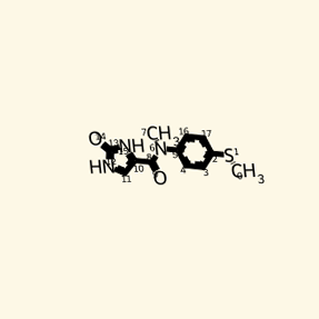 CSc1ccc(N(C)C(=O)c2c[nH]c(=O)[nH]2)cc1